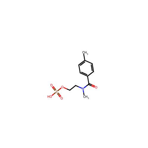 Cc1ccc(C(=O)N(C)CCOS(=O)(=O)O)cc1